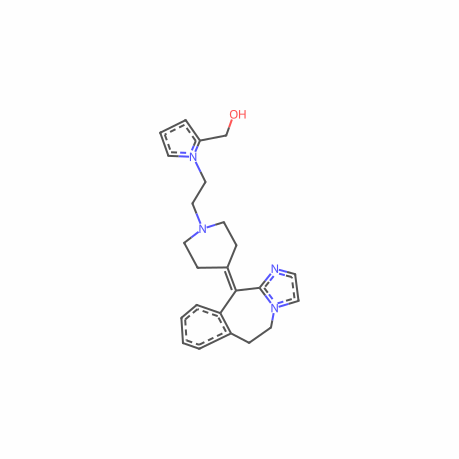 OCc1cccn1CCN1CCC(=C2c3ccccc3CCn3ccnc32)CC1